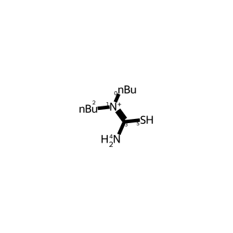 CCCC[N+](CCCC)=C(N)S